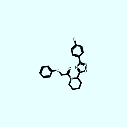 O=C(COc1ccccc1)N1CCCCC1c1nc(-c2ccc(F)cc2)no1